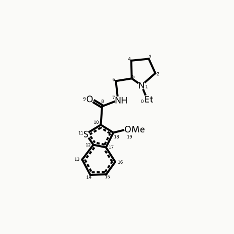 CCN1CCCC1CNC(=O)c1sc2ccccc2c1OC